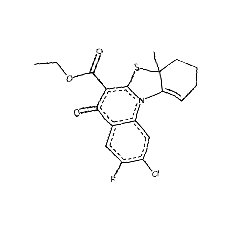 CCOC(=O)c1c2n(c3cc(Cl)c(F)cc3c1=O)C1=CCCCC1(C)S2